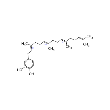 CC(C)=CCC/C(C)=C/CC/C(C)=C/CC/C(C)=C/Cc1ccc(O)c(O)c1